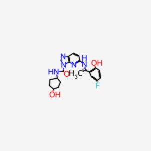 C[C@@H](Nc1ccc2ncn(C(=O)NC3CCC(O)CC3)c2n1)c1cc(F)ccc1O